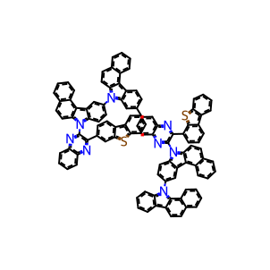 c1ccc2c(c1)ccc1c2c2ccc(-c3ccc4nc(-n5c6ccc(-n7c8ccccc8c8ccc9ccccc9c87)cc6c6c7ccccc7ccc65)c(-c5cccc6c5sc5ccccc56)nc4c3)cc2n1-c1ccc2c(c1)c1c3ccccc3ccc1n2-c1nc2ccccc2nc1-c1ccc2c(c1)sc1ccccc12